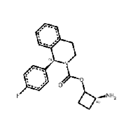 N[C@H]1CCC1OC(=O)N1CCc2ccccc2[C@@H]1c1ccc(F)cc1